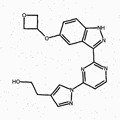 OCCc1cnn(-c2ccnc(-c3n[nH]c4ccc(OC5COC5)cc34)n2)c1